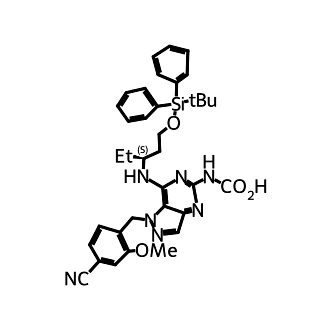 CC[C@@H](CCO[Si](c1ccccc1)(c1ccccc1)C(C)(C)C)Nc1nc(NC(=O)O)nc2cnn(Cc3ccc(C#N)cc3OC)c12